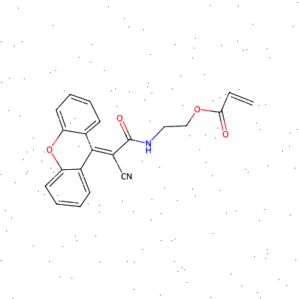 C=CC(=O)OCCNC(=O)C(C#N)=C1c2ccccc2Oc2ccccc21